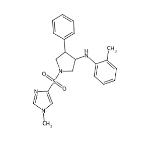 Cc1ccccc1NC1CN(S(=O)(=O)c2cn(C)cn2)CC1c1ccccc1